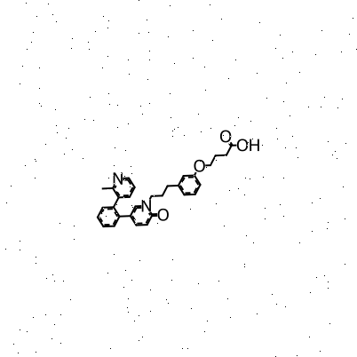 Cc1ncccc1-c1ccccc1-c1ccc(=O)n(CCCc2cccc(OCCCC(=O)O)c2)c1